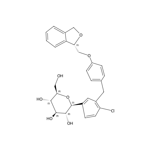 OC[C@H]1O[C@@H](c2ccc(Cl)c(Cc3ccc(OC[C@H]4OCc5ccccc54)cc3)c2)[C@H](O)[C@@H](O)[C@@H]1O